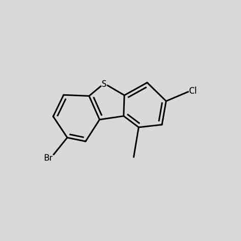 Cc1cc(Cl)cc2sc3ccc(Br)cc3c12